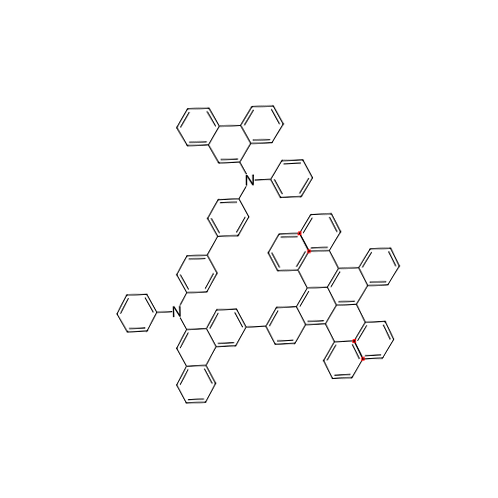 c1ccc(-c2c3ccccc3c(-c3ccccc3)c3c(-c4ccccc4)c4cc(-c5ccc6c(N(c7ccccc7)c7ccc(-c8ccc(N(c9ccccc9)c9cc%10ccccc%10c%10ccccc9%10)cc8)cc7)cc7ccccc7c6c5)ccc4c(-c4ccccc4)c23)cc1